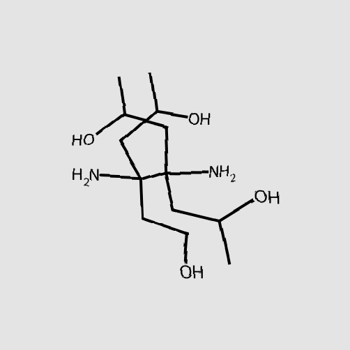 CC(O)CC(N)(CCO)C(N)(CC(C)O)CC(C)O